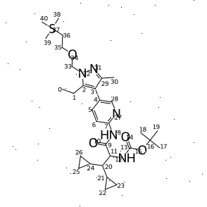 CCc1c(-c2ccc(NC(=O)C(NC(=O)OC(C)(C)C)C(C3CC3)C3CC3)nc2)c(C)nn1COCCS(C)(C)C